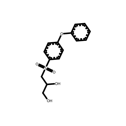 O=S(=O)(CC(O)CO)c1ccc(Oc2ccccc2)cc1